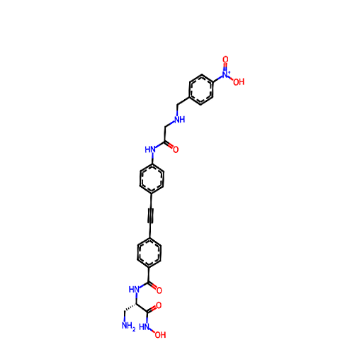 NC[C@H](NC(=O)c1ccc(C#Cc2ccc(NC(=O)CNCc3ccc([N+](=O)O)cc3)cc2)cc1)C(=O)NO